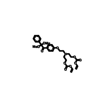 C=COC(=O)OCCN(CCOC(=O)OC=C)CCOc1ccc(C(=O)C(OC)(OC)c2ccccc2)cc1